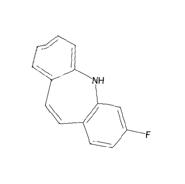 Fc1ccc2c(c1)Nc1ccccc1C=C2